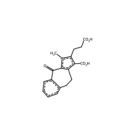 Cn1c(CCC(=O)O)c(C(=O)O)c2c1C(=O)c1ccccc1CC2